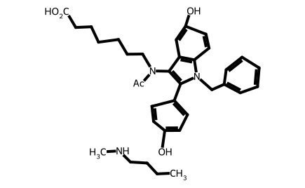 CC(=O)N(CCCCCCC(=O)O)c1c(-c2ccc(O)cc2)n(Cc2ccccc2)c2ccc(O)cc12.CCCCNC